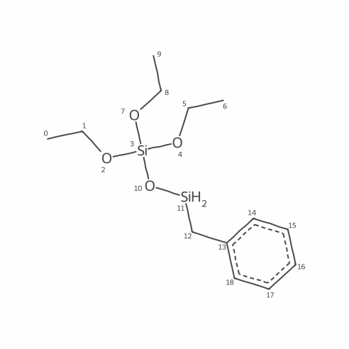 CCO[Si](OCC)(OCC)O[SiH2]Cc1ccccc1